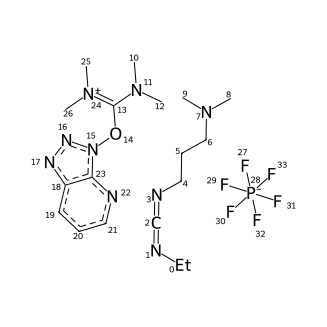 CCN=C=NCCCN(C)C.CN(C)C(On1nnc2cccnc21)=[N+](C)C.F[P-](F)(F)(F)(F)F